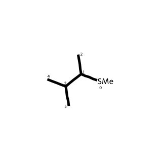 [CH2]SC(C)C(C)C